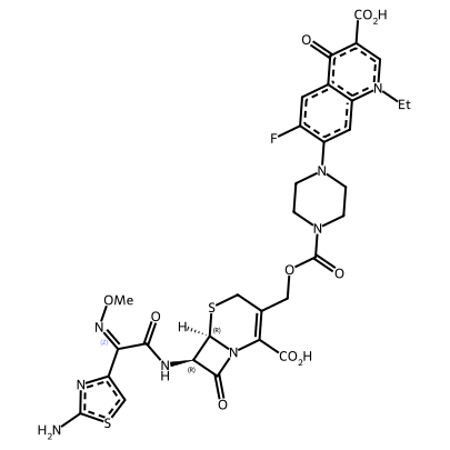 CCn1cc(C(=O)O)c(=O)c2cc(F)c(N3CCN(C(=O)OCC4=C(C(=O)O)N5C(=O)[C@@H](NC(=O)/C(=N\OC)c6csc(N)n6)[C@H]5SC4)CC3)cc21